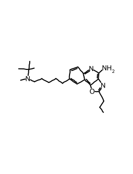 CCCc1nc2c(N)nc3ccc(CCCCCN(C)C(C)(C)C)cc3c2o1